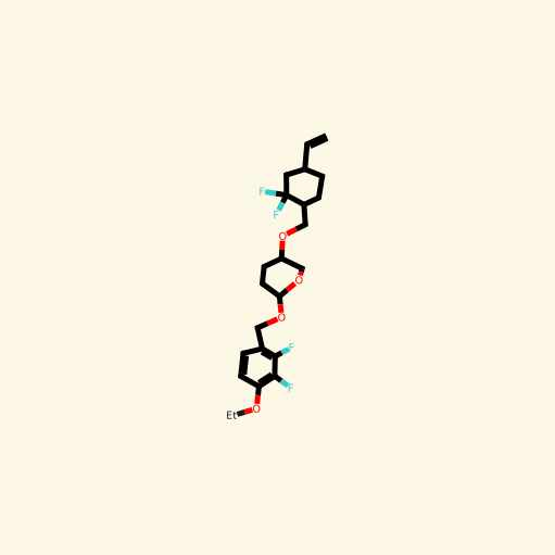 C=CC1CCC(COC2CCC(OCc3ccc(OCC)c(F)c3F)OC2)C(F)(F)C1